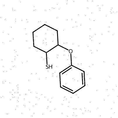 SC1CCCCC1Oc1ccccc1